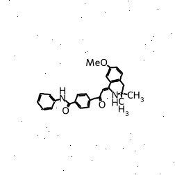 COc1ccc2c(c1)C(=CC(=O)c1ccc(C(=O)Nc3ccccc3)cc1)NC(C)(C)C2